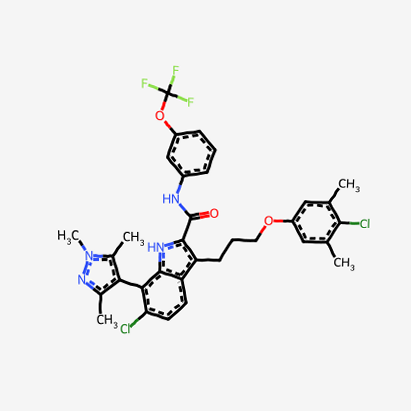 Cc1cc(OCCCc2c(C(=O)Nc3cccc(OC(F)(F)F)c3)[nH]c3c(-c4c(C)nn(C)c4C)c(Cl)ccc23)cc(C)c1Cl